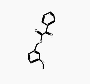 COc1cccc(COC(=O)C(=O)c2ccccc2)c1